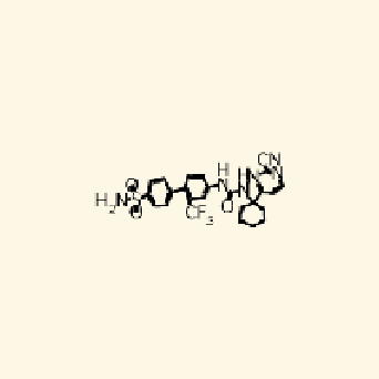 N#Cc1nccc(C2(NC(=O)Nc3ccc(-c4ccc(S(N)(=O)=O)cc4)c(C(F)(F)F)c3)CCCCC2)n1